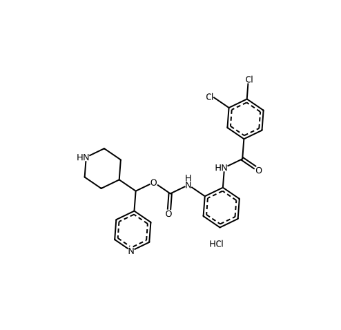 Cl.O=C(Nc1ccccc1NC(=O)c1ccc(Cl)c(Cl)c1)OC(c1ccncc1)C1CCNCC1